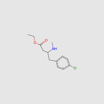 CCOC(=O)CC(Cc1ccc(Cl)cc1)NC